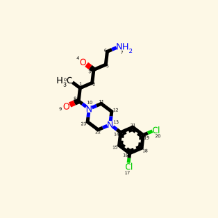 CC(CC(=O)CCN)C(=O)N1CCN(c2cc(Cl)cc(Cl)c2)CC1